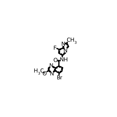 COc1cnc2c(C(=O)Nc3cc(F)c4nc(C)cn4c3)ccc(Br)c2n1